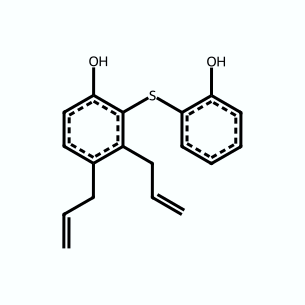 C=CCc1ccc(O)c(Sc2ccccc2O)c1CC=C